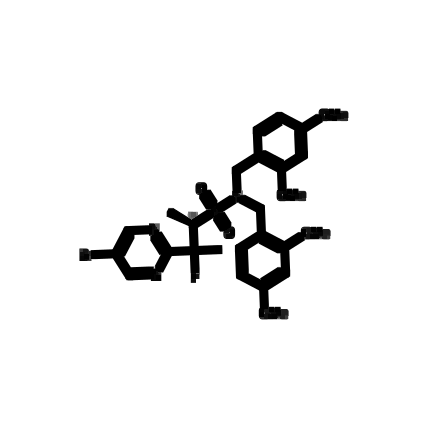 COc1ccc(CN(Cc2ccc(OC)cc2OC)S(=O)(=O)[C@H](C)C(C)(F)c2ncc(Br)cn2)c(OC)c1